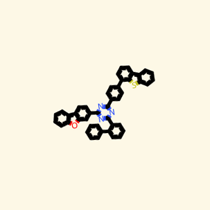 c1ccc(-c2ccccc2-c2nc(-c3ccc(-c4cccc5c4sc4ccccc45)cc3)nc(-c3ccc4c(c3)oc3ccccc34)n2)cc1